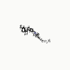 O=C(O)CCCCCNC(=O)/C=C/c1ccc2c(c1)CCC2Nc1ccc(F)cc1